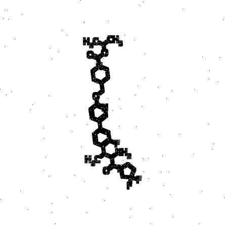 CC(C)OC(=O)N1CCC(COc2ccc(-c3ccc(C(C)C(N)C(=O)N4CCC(F)(F)C4)c(F)c3)cn2)CC1